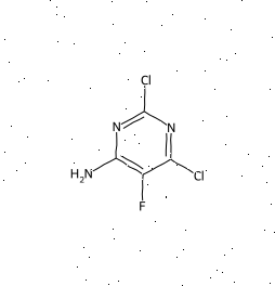 Nc1nc(Cl)nc(Cl)c1F